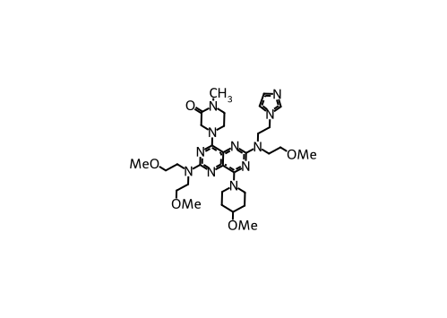 COCCN(CCOC)c1nc(N2CCN(C)C(=O)C2)c2nc(N(CCOC)CCn3ccnc3)nc(N3CCC(OC)CC3)c2n1